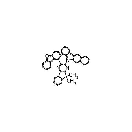 CC1(C)c2ccccc2-c2nc(-c3cccc4oc5ccccc5c34)c(-n3c4ccccc4c4cc5ccccc5cc43)nc21